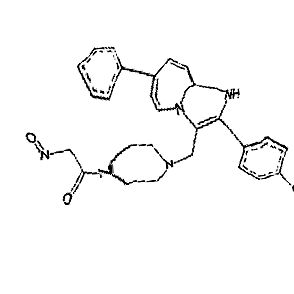 O=NCC(=O)N1CCN(CC2=C(c3ccc(Cl)cc3)NC3C=CC(c4ccccc4)=CN23)CC1